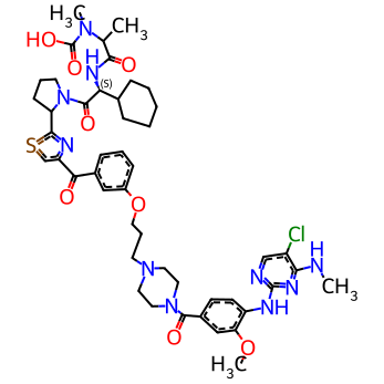 CNc1nc(Nc2ccc(C(=O)N3CCN(CCCOc4cccc(C(=O)c5csc(C6CCCN6C(=O)[C@@H](NC(=O)C(C)N(C)C(=O)O)C6CCCCC6)n5)c4)CC3)cc2OC)ncc1Cl